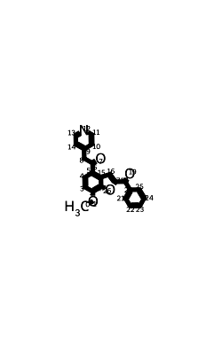 COc1ccc(C(=O)Cc2ccncc2)c2cc(C(=O)c3ccccc3)oc12